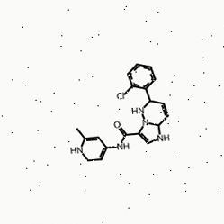 CC1=CC(NC(=O)C2=CNC3C=CC(c4ccccc4Cl)NN23)=CCN1